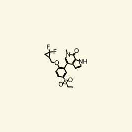 CCS(=O)(=O)c1ccc(OCC2CC2(F)F)c(-c2cn(C)c(=O)c3[nH]ccc23)c1